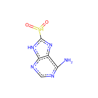 Nc1ncnc2[nH]c([SH](=O)=O)nc12